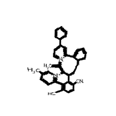 C=C1C2C(CCc3ccccc3-c3cc(-c4ccccc4)cc[n+]31)c1c(C#N)ccc(C#N)c1-c1ccc(C)c[n+]12